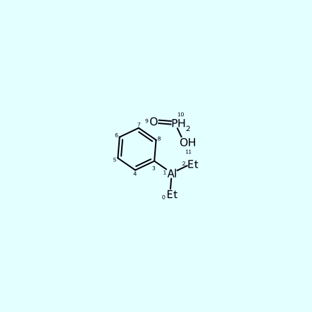 C[CH2][Al]([CH2]C)[c]1ccccc1.O=[PH2]O